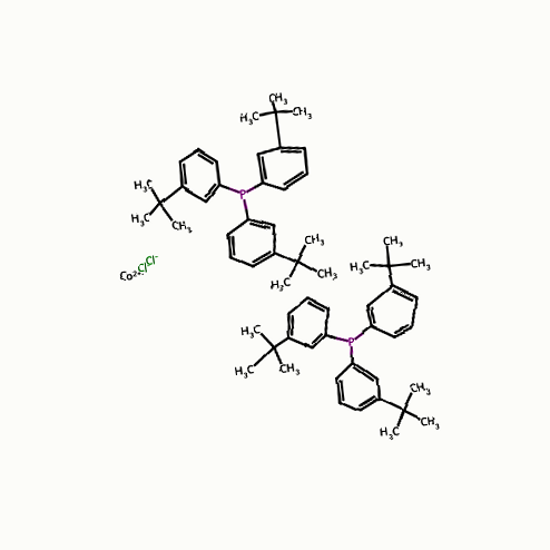 CC(C)(C)c1cccc(P(c2cccc(C(C)(C)C)c2)c2cccc(C(C)(C)C)c2)c1.CC(C)(C)c1cccc(P(c2cccc(C(C)(C)C)c2)c2cccc(C(C)(C)C)c2)c1.[Cl-].[Cl-].[Co+2]